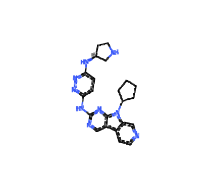 c1cc2c3cnc(Nc4ccc(N[C@H]5CCNC5)nn4)nc3n(C3CCCC3)c2cn1